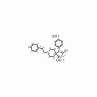 CCC(=O)N(c1ccccc1)C1(C(=O)OC)CCN(CCc2ccccc2)CC1.[NaH]